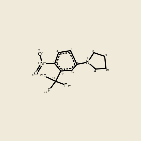 O=[N+]([O-])c1ccc(N2CCCC2)cc1C(F)(F)F